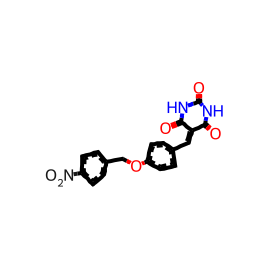 O=C1NC(=O)C(=Cc2ccc(OCc3ccc([N+](=O)[O-])cc3)cc2)C(=O)N1